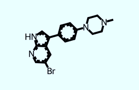 CN1CCN(c2ccc(-c3c[nH]c4ncc(Br)cc34)cc2)CC1